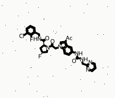 CC(=O)c1cn(CC(=O)N2C[C@H](F)C[C@H]2C(=O)NCc2cccc(Cl)c2F)c2ccc(NC(=O)NCc3ncccn3)cc12